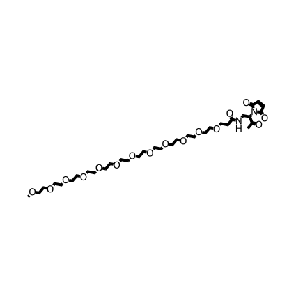 COCCOCCOCCOCCOCCOCCOCCOCCOCCOCCOCCOCCC(=O)NCC(C(C)=O)N1C(=O)C=CC1=O